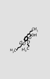 CCCCC(=O)Oc1ccc(C=C(CCC)C(=O)O)cc1OCCC